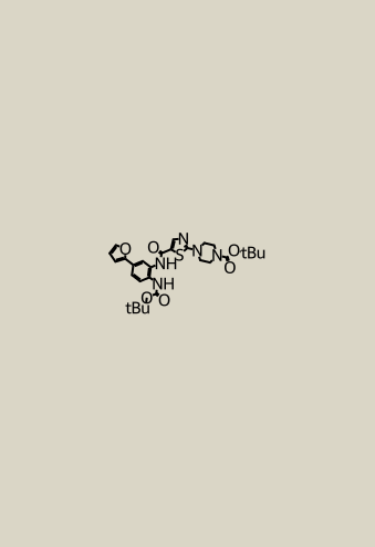 CC(C)(C)OC(=O)Nc1ccc(-c2ccco2)cc1NC(=O)c1cnc(N2CCN(C(=O)OC(C)(C)C)CC2)s1